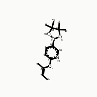 C/C=C(/C)Oc1ccc(B2OC(C)(C)C(C)(C)O2)cn1